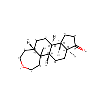 CC12CCOCC[C@@H]1CC[C@@H]1[C@@H]2CC[C@]2(C)C(=O)CC[C@@H]12